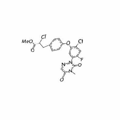 COC(=O)C(Cl)Cc1ccc(Oc2cc(-n3ncc(=O)n(C)c3=O)c(F)cc2Cl)cc1